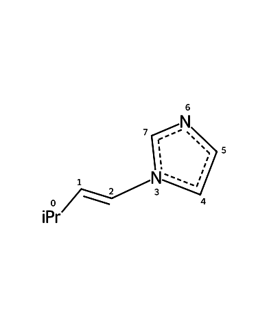 CC(C)/C=C/n1ccnc1